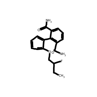 CCC(F)COc1ccccc1-c1c(C(N)=O)cccc1C(N)=O